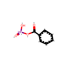 O=C(O[PH](=O)O)c1ccccc1